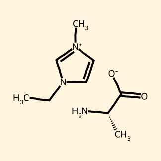 CCn1cc[n+](C)c1.C[C@H](N)C(=O)[O-]